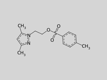 Cc1ccc(S(=O)(=O)OCCn2nc(C)cc2C)cc1